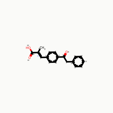 C/C(=C\c1ccc(C(=O)Cc2ccccc2)cc1)C(=O)O